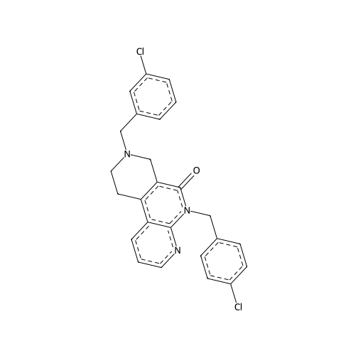 O=c1c2c(c3cccnc3n1Cc1ccc(Cl)cc1)CCN(Cc1cccc(Cl)c1)C2